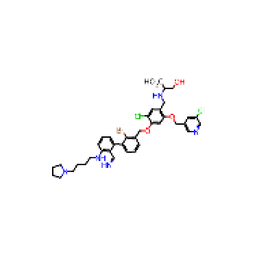 N=Cc1c(NCCCCN2CCCC2)cccc1-c1cccc(COc2cc(OCc3cncc(Cl)c3)c(CNC(CO)C(=O)O)cc2Cl)c1Br